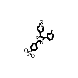 Cc1cccc(-c2nc(-c3ccc(S(C)(=O)=O)cc3)sc2-c2cc[n+]([O-])cc2)c1